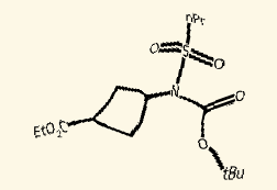 CCCS(=O)(=O)N(C(=O)OC(C)(C)C)C1CC(C(=O)OCC)C1